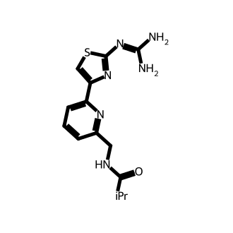 CC(C)C(=O)NCc1cccc(-c2csc(N=C(N)N)n2)n1